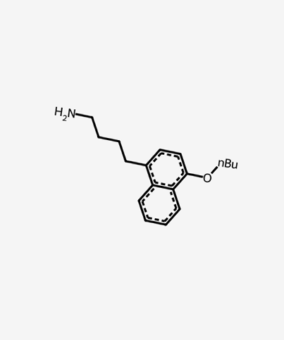 CCCCOc1ccc(CCCCN)c2ccccc12